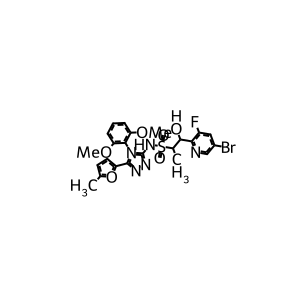 COc1cccc(OC)c1-n1c(NS(=O)(=O)C(C)C(O)c2ncc(Br)cc2F)nnc1-c1ccc(C)o1